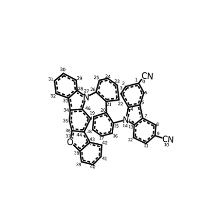 N#Cc1ccc2c(c1)c1cc(C#N)ccc1n2-c1ccccc1-c1ccccc1-n1c2ccccc2c2cc3oc4ccccc4c3cc21